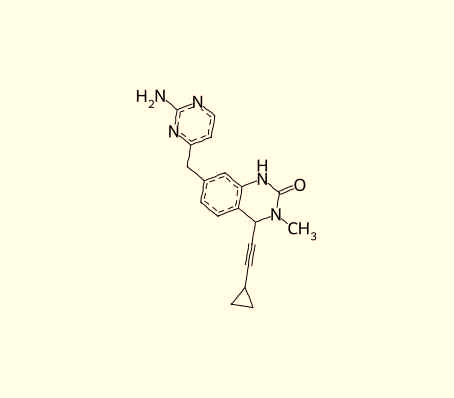 CN1C(=O)Nc2cc(Cc3ccnc(N)n3)ccc2C1C#CC1CC1